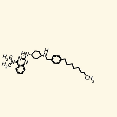 CCCCCCCCc1ccc(CN[C@H]2CC[C@@H](Nc3nc(N(C)C)c4ccccc4n3)CC2)cc1